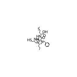 CC[C@H](C)[C@H](CN(Cc1ccccc1)[C@@H](C)C(=O)N[C@@H](CCSC)C(=O)O)NC[C@@H](N)CS